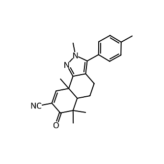 Cc1ccc(-c2c3c(nn2C)C2(C)C=C(C#N)C(=O)C(C)(C)C2CC3)cc1